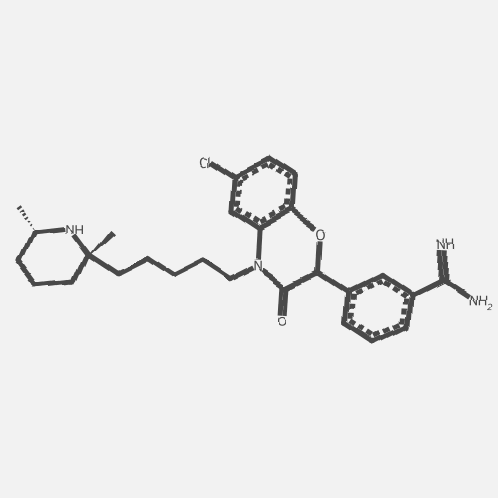 C[C@H]1CCC[C@@](C)(CCCCCN2C(=O)C(c3cccc(C(=N)N)c3)Oc3ccc(Cl)cc32)N1